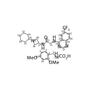 COc1ccc(CNC(=O)O)c(OC)c1.O=C(CNc1ncnc2ccc(C(F)(F)F)cc12)NC1CN(C2CCCCC2)C1